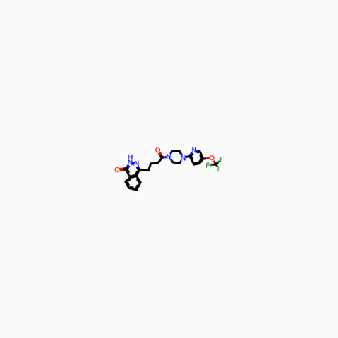 O=C(CCCc1n[nH]c(=O)c2ccccc12)N1CCN(c2ccc(OC(F)(F)F)cn2)CC1